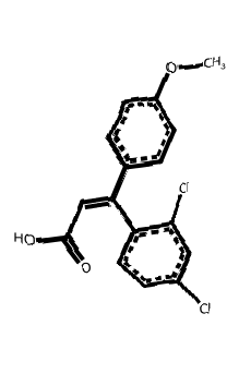 COc1ccc(C(=CC(=O)O)c2ccc(Cl)cc2Cl)cc1